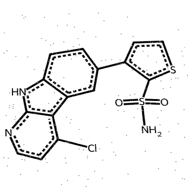 NS(=O)(=O)c1sccc1-c1ccc2[nH]c3nccc(Cl)c3c2c1